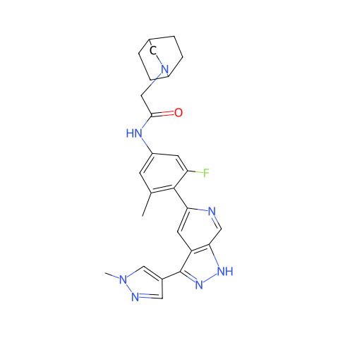 Cc1cc(NC(=O)CN2CC3CCC2CC3)cc(F)c1-c1cc2c(-c3cnn(C)c3)n[nH]c2cn1